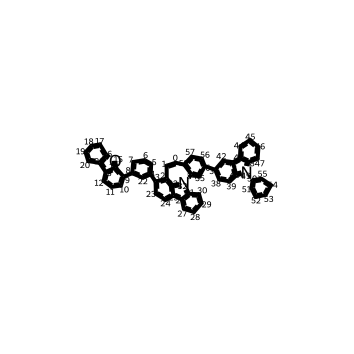 C1=Cc2c(-c3cccc(-c4cccc5c4oc4ccccc45)c3)ccc3c4ccccc4n(c23)-c2cc(-c3ccc4c(c3)c3ccccc3n4-c3ccccc3)ccc21